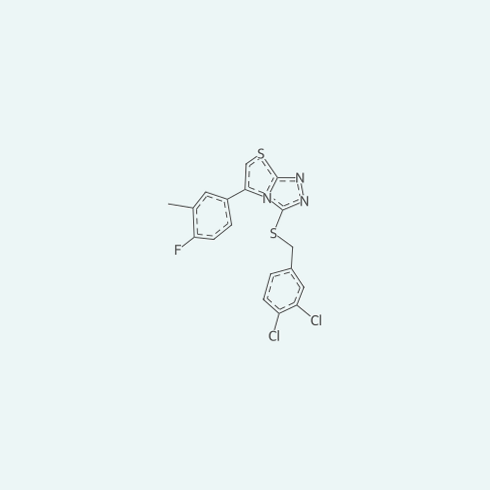 Cc1cc(-c2csc3nnc(SCc4ccc(Cl)c(Cl)c4)n23)ccc1F